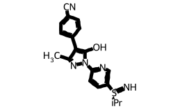 Cc1nn(-c2ccc([S@@](=N)C(C)C)cn2)c(O)c1-c1ccc(C#N)cc1